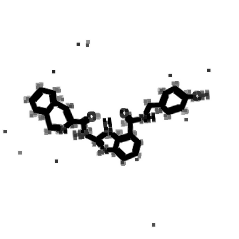 O=C(Nc1nc2cccc(C(=O)NCc3ccc(O)cc3)c2[nH]1)c1cc2ccccc2cn1